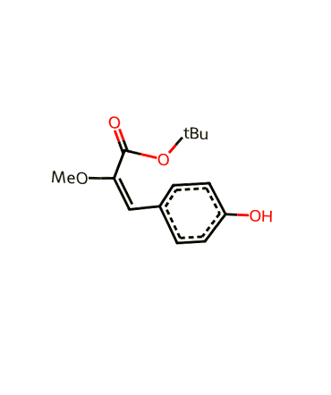 COC(=Cc1ccc(O)cc1)C(=O)OC(C)(C)C